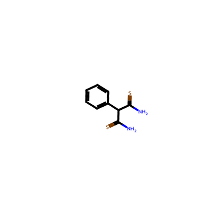 NC(=S)C(C(N)=S)c1ccccc1